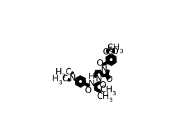 CCN(CC)c1ccc(C(=O)NC(CC(C)C)C(=O)N2CCC3C2C(=O)CN3C(=O)c2cccc(S(C)(=O)=O)c2)cc1